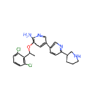 CC(Oc1cc(-c2ccc(C3CCCNC3)nc2)cnc1N)c1c(Cl)cccc1Cl